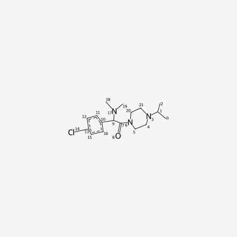 CC(C)N1CCN(C(=O)C(c2ccc(Cl)cc2)N(C)C)CC1